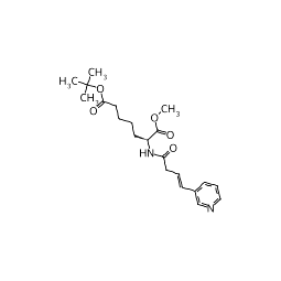 COC(=O)[C@H](CCCCC(=O)OC(C)(C)C)NC(=O)C/C=C/c1cccnc1